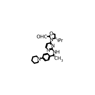 CC(C)[C@H]1COC(C=O)N1c1ccnc(N[C@@H](C)c2ccc(N3CCCCC3)cc2)n1